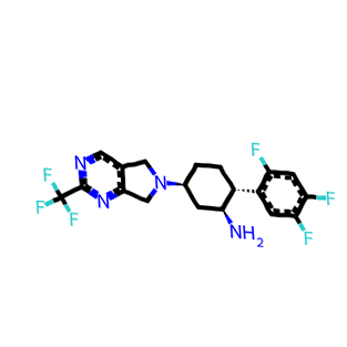 N[C@H]1C[C@@H](N2Cc3cnc(C(F)(F)F)nc3C2)CC[C@@H]1c1cc(F)c(F)cc1F